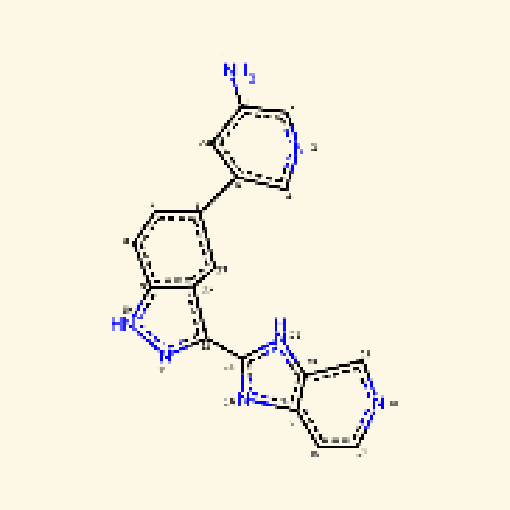 Nc1cncc(-c2ccc3[nH]nc(-c4nc5ccncc5[nH]4)c3c2)c1